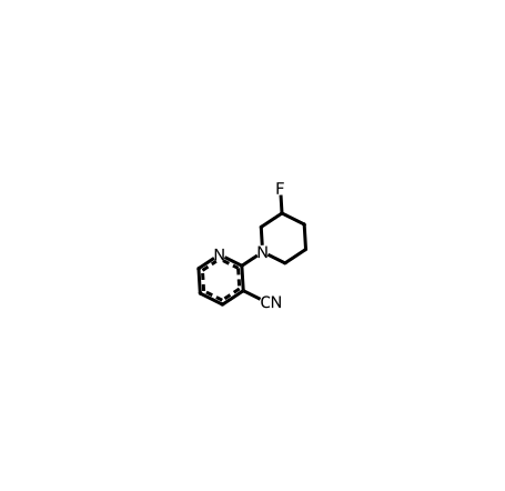 N#Cc1cccnc1N1CCCC(F)C1